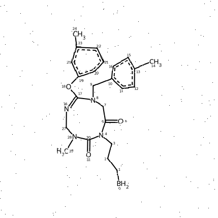 BCCCN1C(=O)CN(Cc2ccc(C)cc2)/C(Oc2cccc(C)c2)=N\CN(C)C1=O